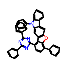 c1ccc(-c2nc(-c3ccccc3)nc(-c3ccc(-c4ccccc4)c4oc5cc6c7ccccc7n(-c7ccccc7)c6cc5c34)n2)cc1